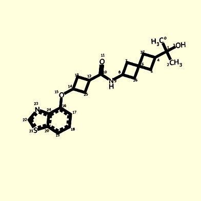 CC(C)(O)C1CC2(CC(NC(=O)C3CC(Oc4cccc5scnc45)C3)C2)C1